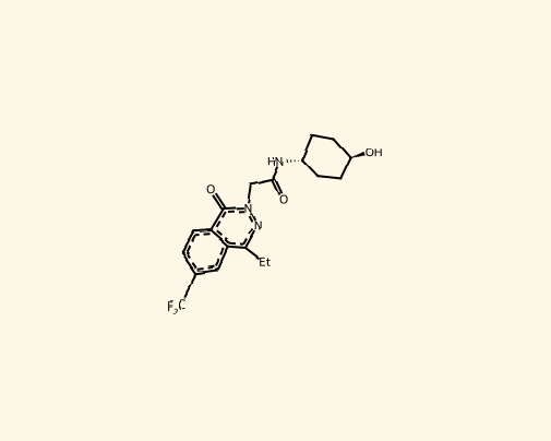 CCc1nn(CC(=O)N[C@H]2CC[C@H](O)CC2)c(=O)c2ccc(C(F)(F)F)cc12